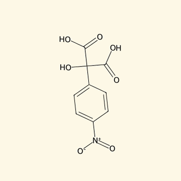 O=C(O)C(O)(C(=O)O)c1ccc([N+](=O)[O-])cc1